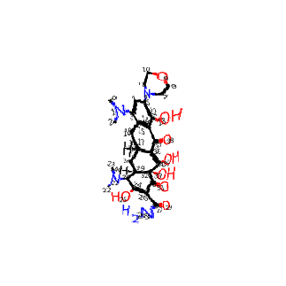 CN(C)c1cc(N2CCOCC2)c(O)c2c1C[C@H]1C[C@H]3[C@H](N(C)C)C(O)=C(C(N)=O)C(=O)[C@@]3(O)C(O)=C1C2=O